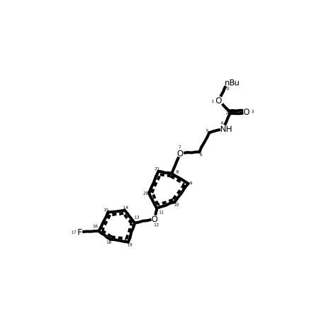 CCCCOC(=O)NCCOc1ccc(Oc2ccc(F)cc2)cc1